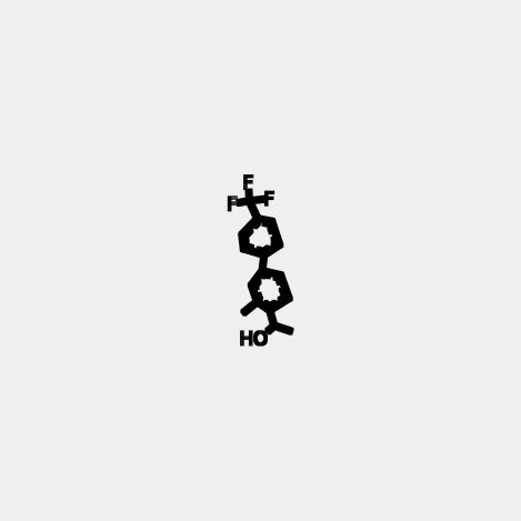 Cc1cc(-c2ccc(C(F)(F)F)cc2)ccc1C(C)O